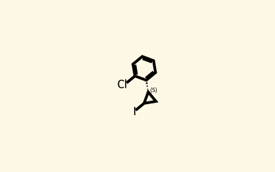 Clc1ccccc1[C@@H]1CC1I